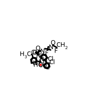 C=C(F)C(=O)N1CC(F)(Cn2c(=O)c(=O)n(-c3c(C(C)C)ccnc3C(C)C)c3nc(-c4c(O)cccc4Cl)c(Cl)cc32)C1